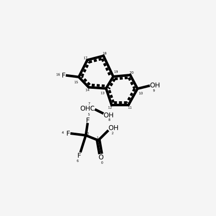 O=C(O)C(F)(F)F.O=CO.Oc1ccc2cc(F)ccc2c1